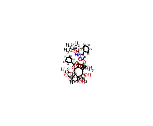 CC(=O)O[C@@]12CO[C@@H]1C[C@H](O)[C@@]1(C)C(=O)[C@H](O)C3=C(C)[C@@H](OC(=O)C[C@@H](NC(=O)OC(C)(C)C)c4ccccc4)C[C@@](O)([C@@H](OC(=O)c4ccccc4)C[C@H]21)C3(C)C